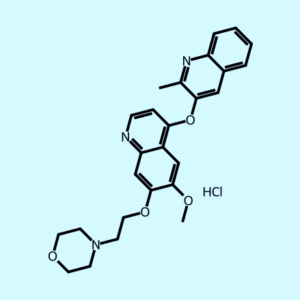 COc1cc2c(Oc3cc4ccccc4nc3C)ccnc2cc1OCCN1CCOCC1.Cl